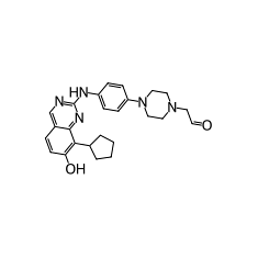 O=CCN1CCN(c2ccc(Nc3ncc4ccc(O)c(C5CCCC5)c4n3)cc2)CC1